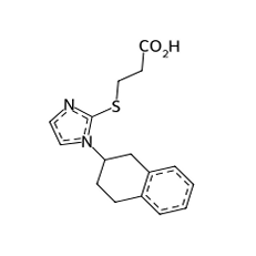 O=C(O)CCSc1nccn1C1CCc2ccccc2C1